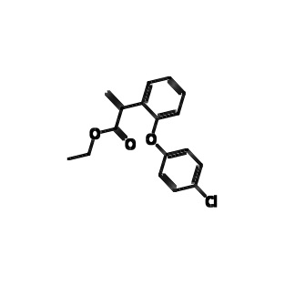 C=C(C(=O)OCC)c1ccccc1Oc1ccc(Cl)cc1